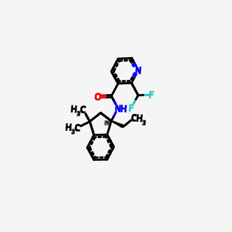 CC[C@]1(NC(=O)c2cccnc2C(F)F)CC(C)(C)c2ccccc21